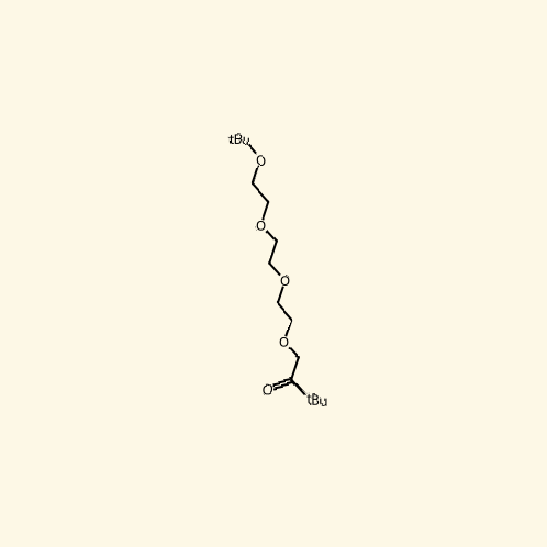 CC(C)(C)OCCOCCOCCOCC(=O)C(C)(C)C